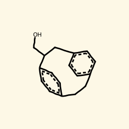 OCC1Cc2ccc(cc2)CCc2ccc1cc2